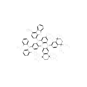 Cc1cc2c3c(c1)N(c1ccc(C(C)(C)C)c4c1sc1ccccc14)c1cc(N(c4ccccc4C)c4ccccc4C)ccc1B3c1cc3c(cc1N2c1ccc2c(c1)C(C)(C)CCC2(C)C)C(C)(C)CCC3(C)C